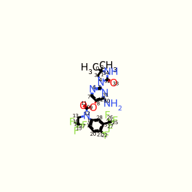 CC1(C)CN(c2ncc(OC(=O)N(CC(F)(F)F)c3ccc(F)c(C(F)(F)F)c3)c(N)n2)C(=O)N1